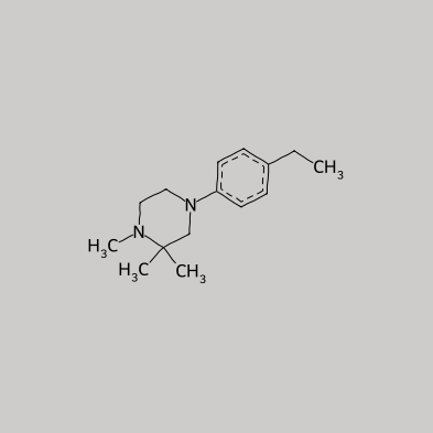 CCc1ccc(N2CCN(C)C(C)(C)C2)cc1